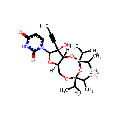 CC#C[C@@]1(O)C(n2ccc(=O)[nH]c2=O)O[C@@H]2CO[Si](C(C)C)(C(C)C)O[Si](C(C)C)(C(C)C)O[C@H]21